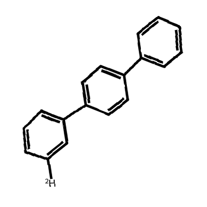 [2H]c1cccc(-c2ccc(-c3ccccc3)cc2)c1